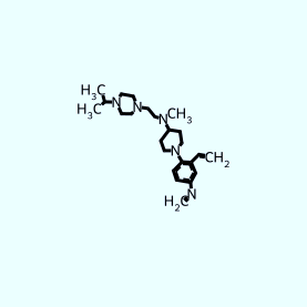 C=Cc1cc(N=C)ccc1N1CCC(N(C)CCN2CCN(C(C)C)CC2)CC1